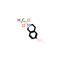 Bc1ccc2c(c1)CCN(S(C)(=O)=O)C2